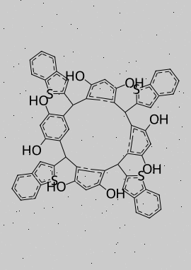 Oc1cc(O)c2cc1C(c1cc3ccccc3s1)c1cc(c(O)cc1O)C(c1cc3ccccc3s1)c1cc(c(O)cc1O)C(c1cc3ccccc3s1)c1cc(c(O)cc1O)C2c1cc2ccccc2s1